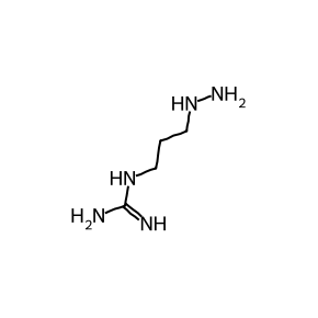 N=C(N)NCCCNN